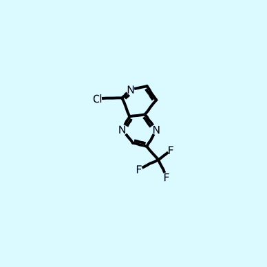 FC(F)(F)c1cnc2c(Cl)nccc2n1